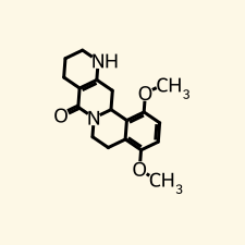 COc1ccc(OC)c2c1CCN1C(=O)C3=C(CC21)NCCC3